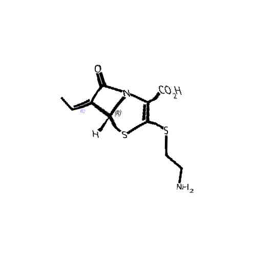 C/C=C1\C(=O)N2C(C(=O)O)=C(SCCN)S[C@H]12